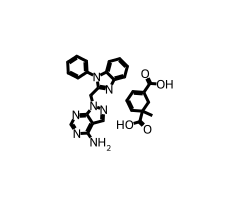 CC1(C(=O)O)C=CC=C(C(=O)O)C1.Nc1ncnc2c1cnn2Cc1nc2ccccc2n1-c1ccccc1